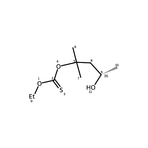 CCOC(=S)OC(C)(C)C[C@H](C)O